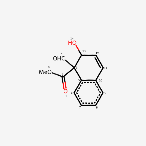 COC(=O)C1(C=O)c2ccccc2C=CC1O